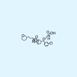 NN(CCCC1CCCCOC1)C(=O)N1CCCC([C@@H](OCCNC(=O)O)c2cccc(Cl)c2)C1